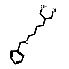 OCC(CO)CCCCOCc1ccccc1